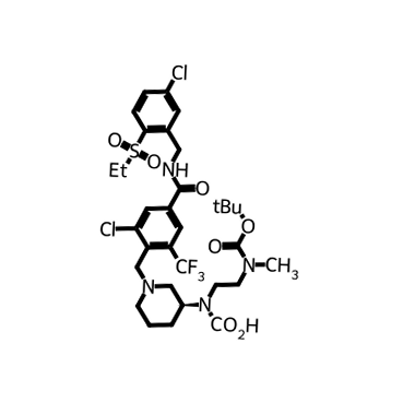 CCS(=O)(=O)c1ccc(Cl)cc1CNC(=O)c1cc(Cl)c(CN2CCC[C@H](N(CCN(C)C(=O)OC(C)(C)C)C(=O)O)C2)c(C(F)(F)F)c1